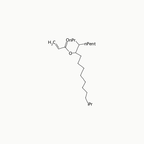 C=CC(=O)OC(CCCCCCCCC(C)C)C(CCC)CCCCC